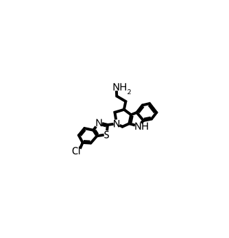 NCCC1CN(c2nc3ccc(Cl)cc3s2)Cc2[nH]c3ccccc3c21